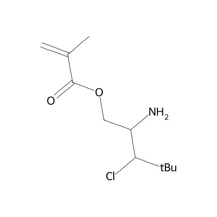 C=C(C)C(=O)OCC(N)C(Cl)C(C)(C)C